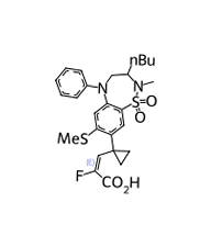 CCCCC1CN(c2ccccc2)c2cc(SC)c(C3(/C=C(/F)C(=O)O)CC3)cc2S(=O)(=O)N1C